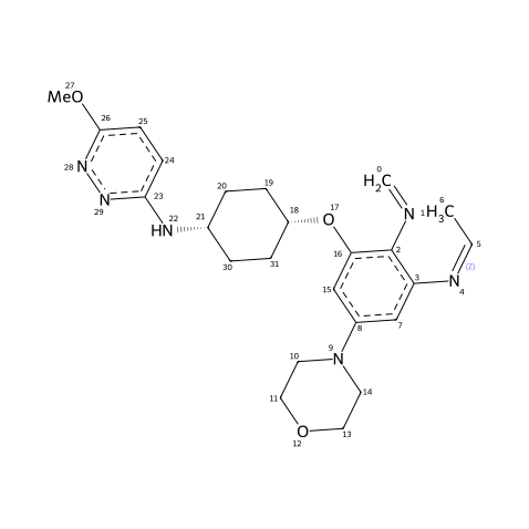 C=Nc1c(/N=C\C)cc(N2CCOCC2)cc1O[C@H]1CC[C@@H](Nc2ccc(OC)nn2)CC1